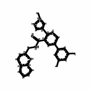 Cc1cc(C)cc(-c2cnc(-c3cnn(C)c3)c(C(=O)NCc3ccc4ccccc4n3)c2)c1